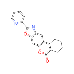 O=c1oc2cc3oc(-c4ccccn4)nc3cc2c2c1CCCC2